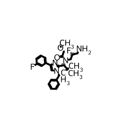 COCC(=O)N(C[C@H](F)CN)[C@@H](c1nc(-c2cccc(F)c2)cn1Cc1ccccc1)C(C)(C)C